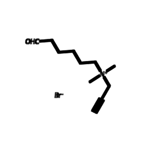 C#CC[N+](C)(C)CCCCCC=O.[Br-]